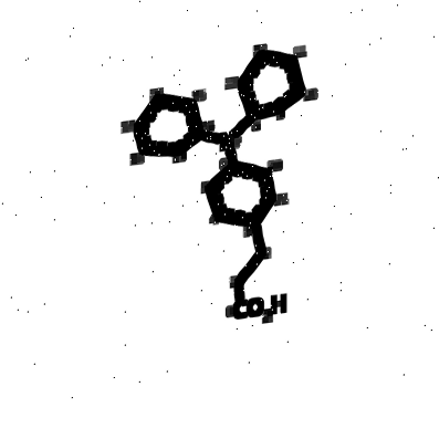 O=C(O)CCc1ccc(N(c2ccccc2)c2ccccc2)cc1